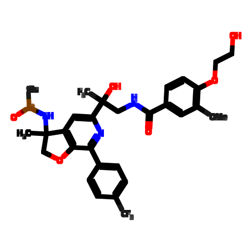 COc1cc(C(=O)NCC(O)(c2cc3c(c(-c4ccc(C(F)(F)F)cc4)n2)OCC3(C)N[S+]([O-])C(C)(C)C)C(F)(F)F)ccc1OCCO